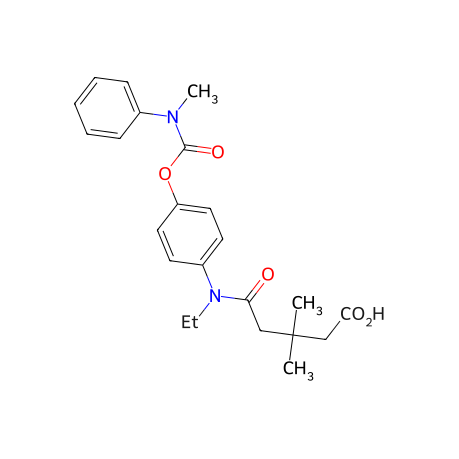 CCN(C(=O)CC(C)(C)CC(=O)O)c1ccc(OC(=O)N(C)c2ccccc2)cc1